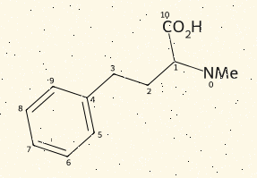 CNC(CCc1ccccc1)C(=O)O